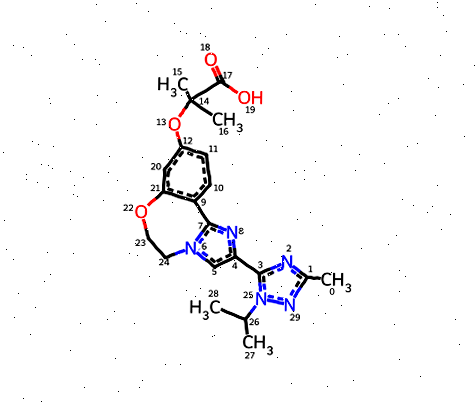 Cc1nc(-c2cn3c(n2)-c2ccc(OC(C)(C)C(=O)O)cc2OCC3)n(C(C)C)n1